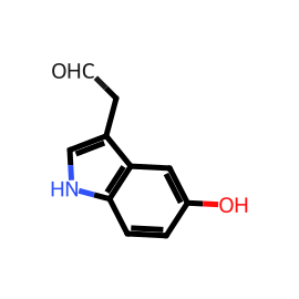 O=CCc1c[nH]c2ccc(O)cc12